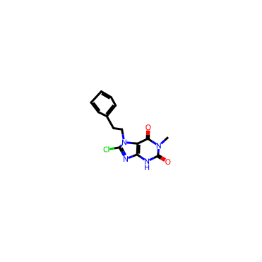 Cn1c(=O)[nH]c2nc(Cl)n(CCc3ccccc3)c2c1=O